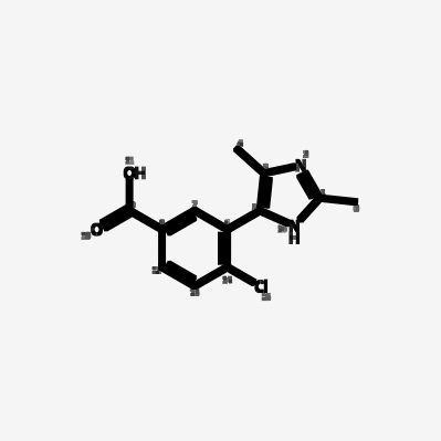 Cc1nc(C)c(-c2cc(C(=O)O)ccc2Cl)[nH]1